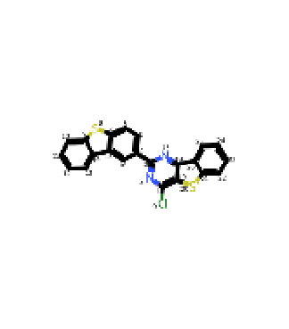 Clc1nc(-c2ccc3sc4ccccc4c3c2)nc2c1sc1ccccc12